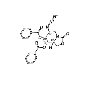 [N-]=[N+]=N[C@H]1CN2C(=O)OC[C@@H]2[C@H](OC(=O)c2ccccc2)[C@@H]1OC(=O)c1ccccc1